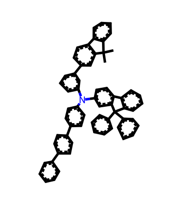 CC1(C)c2ccccc2-c2ccc(-c3cccc(N(c4ccc(-c5ccc(-c6ccccc6)cc5)cc4)c4ccc5c(c4)C(c4ccccc4)(c4ccccc4)c4ccccc4-5)c3)cc21